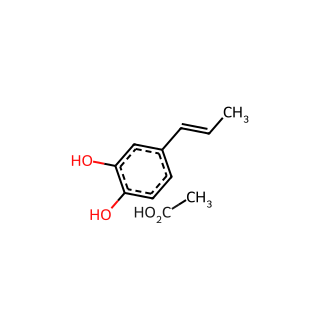 CC(=O)O.CC=Cc1ccc(O)c(O)c1